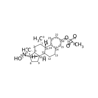 C[C@H]1C[C@]2(C)C(=NO)CC[C@H]2[C@@H]2CCc3cc(OS(C)(=O)=O)ccc3[C@H]21